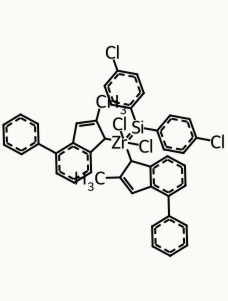 CC1=Cc2c(-c3ccccc3)cccc2[CH]1[Zr]([Cl])([Cl])([CH]1C(C)=Cc2c(-c3ccccc3)cccc21)=[Si](c1ccc(Cl)cc1)c1ccc(Cl)cc1